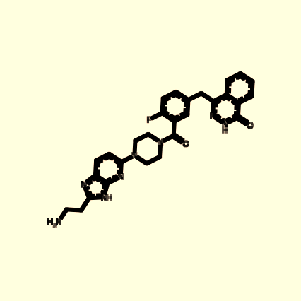 NCCc1nc2ccc(N3CCN(C(=O)c4cc(Cc5n[nH]c(=O)c6ccccc56)ccc4F)CC3)nc2[nH]1